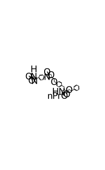 CCCC(=O)NC(Cc1ccc(OCC2CN(c3ccc(-c4noc(=O)[nH]4)cc3)C(=O)O2)cc1)C(=O)OCc1ccccc1